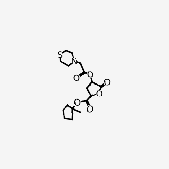 CC1(OC(=O)C2CC(OC(=O)CN3CCSCC3)C(=O)O2)CCCC1